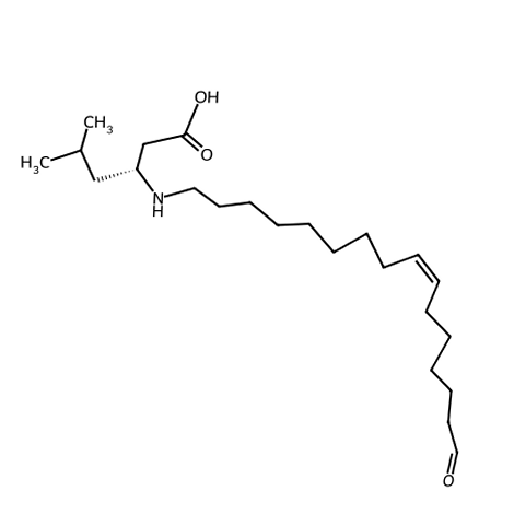 CC(C)C[C@H](CC(=O)O)NCCCCCCCC/C=C\CCCCCC=O